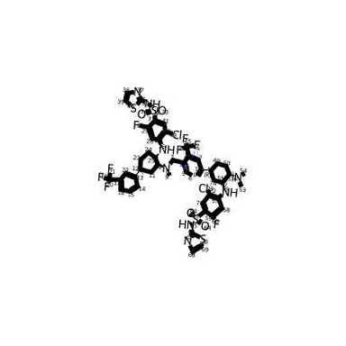 C=C(/C=C(\C(=C/C)CN(C)[C@H]1C[C@H](c2cccc(C(F)(F)F)c2)CC[C@@H]1Nc1cc(F)c(S(=O)(=O)Nc2nccs2)cc1Cl)C(F)(F)F)[C@@H]1CC[C@H](N(C)C)[C@@H](Nc2cc(F)c(S(=O)(=O)Nc3nccs3)cc2Cl)C1